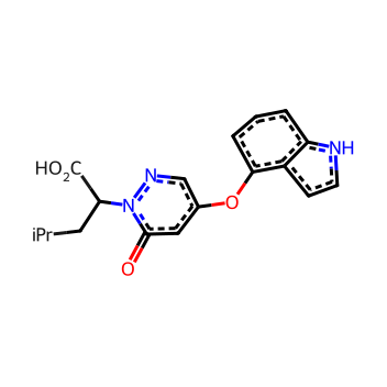 CC(C)CC(C(=O)O)n1ncc(Oc2cccc3[nH]ccc23)cc1=O